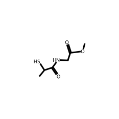 COC(=O)CNC(=O)C(C)S